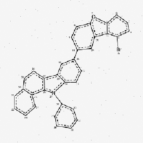 Brc1cccc2oc3ccc(-c4ccc5c(c4)c4ccc6ccccc6c4n5-c4ccccc4)cc3c12